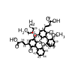 C=CCOc1cc(C=CC(=O)O)c(Cl)c(-c2ccccc2OC)c1Sc1c(OCC=C)cc(C=CC(=O)O)c(Cl)c1-c1ccccc1OC